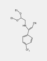 CCOC(CNC(=CC#N)c1ccc(C(F)(F)F)cc1)OCC